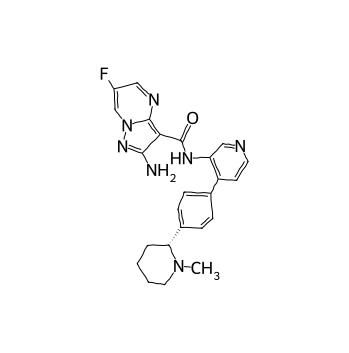 CN1CCCC[C@@H]1c1ccc(-c2ccncc2NC(=O)c2c(N)nn3cc(F)cnc23)cc1